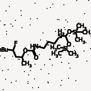 CCCCC(F)CC(C)OC(=O)NCCC[SiH2]C(O[Si](C)(C)C)O[Si](C)(C)C